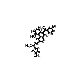 CC1=C(c2ccc(F)c(O)c2)C(c2ccc(OCC(C)N3CCC(C)C3)cc2)Oc2ccc(O)cc21